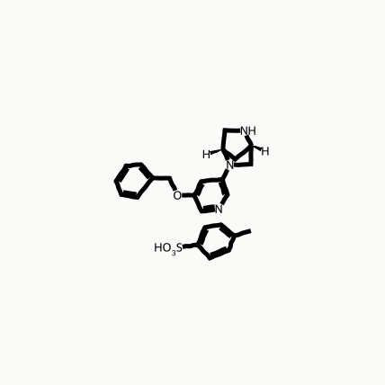 Cc1ccc(S(=O)(=O)O)cc1.c1ccc(COc2cncc(N3C[C@@H]4C[C@H]3CN4)c2)cc1